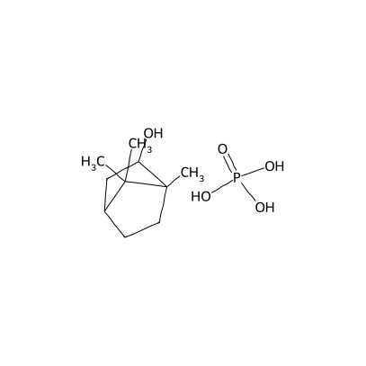 CC1(C)C2CCC1(C)C(O)C2.O=P(O)(O)O